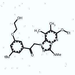 CCOc1nn2c(NC)n[n+](CC(=O)c3cc(OCCO)cc(C(C)(C)C)c3)c2c(C)c1C